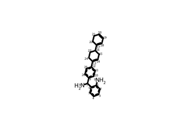 Nc1ccccc1C(N)c1ccc(C2=CCC(C3=CC=CCC3)CC2)cc1